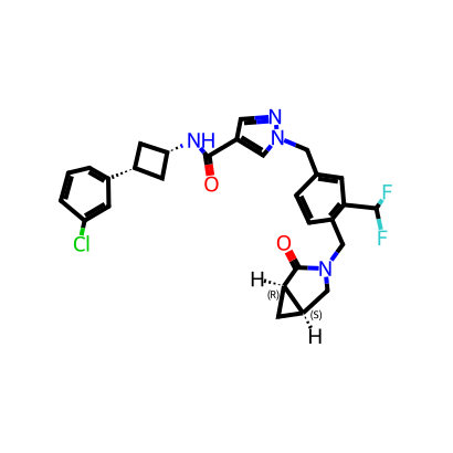 O=C(N[C@H]1C[C@@H](c2cccc(Cl)c2)C1)c1cnn(Cc2ccc(CN3C[C@H]4C[C@H]4C3=O)c(C(F)F)c2)c1